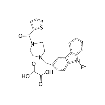 CCn1c2ccccc2c2cc(CN3CCN(C(=O)c4cccs4)CC3)ccc21.O=C(O)C(=O)O